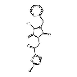 O=C(CN1C(=O)C(O)N(Cc2ccccc2)C1=O)c1ccc(Cl)s1